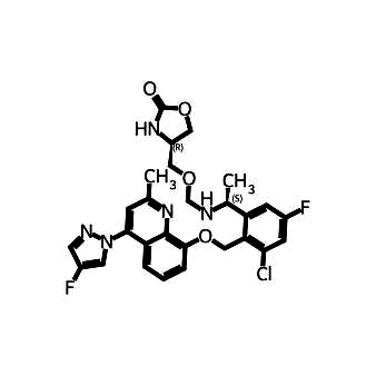 Cc1cc(-n2cc(F)cn2)c2cccc(OCc3c(Cl)cc(F)cc3[C@H](C)NCOC[C@@H]3COC(=O)N3)c2n1